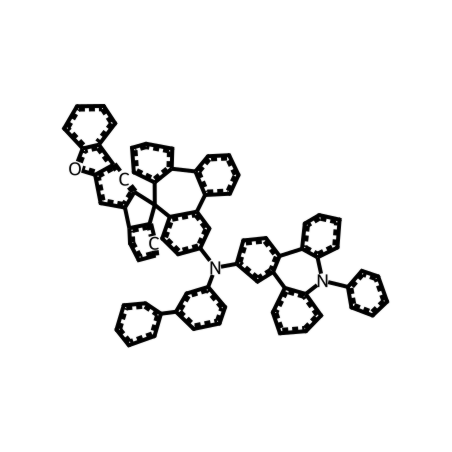 c1ccc(-c2cccc(N(c3ccc4c(c3)-c3ccccc3N(c3ccccc3)c3ccccc3-4)c3ccc4c(c3)-c3ccccc3-c3ccccc3C43c4ccccc4-c4cc5oc6ccccc6c5cc43)c2)cc1